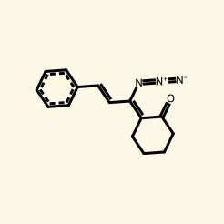 [N-]=[N+]=NC(C=Cc1ccccc1)=C1CCCCC1=O